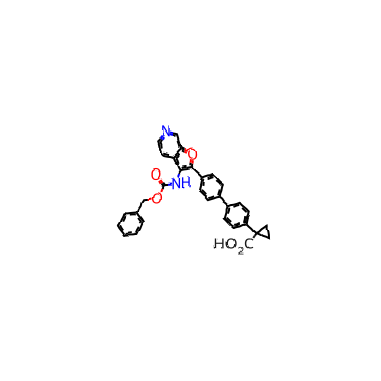 O=C(Nc1c(-c2ccc(-c3ccc(C4(C(=O)O)CC4)cc3)cc2)oc2cnccc12)OCc1ccccc1